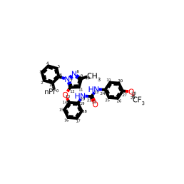 CCCc1ccccc1-n1nc(C)cc1Oc1ccccc1NC(=O)Nc1ccc(OC(F)(F)F)cc1